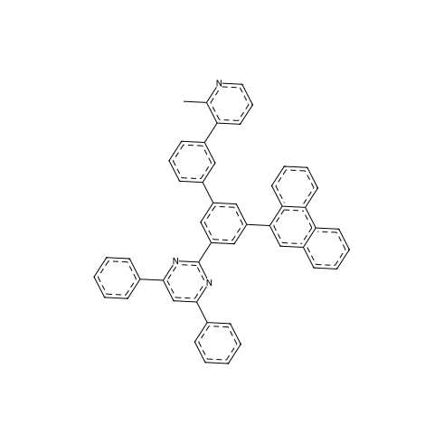 Cc1ncccc1-c1cccc(-c2cc(-c3nc(-c4ccccc4)cc(-c4ccccc4)n3)cc(-c3cc4ccccc4c4ccccc34)c2)c1